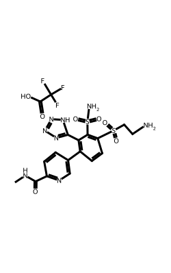 CNC(=O)c1ccc(-c2ccc(S(=O)(=O)CCN)c(S(N)(=O)=O)c2-c2nnn[nH]2)cn1.O=C(O)C(F)(F)F